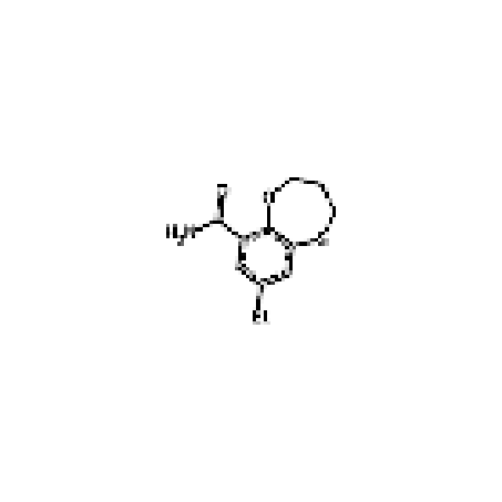 CCc1cc2c(c(C(N)=O)c1)OCCCS2